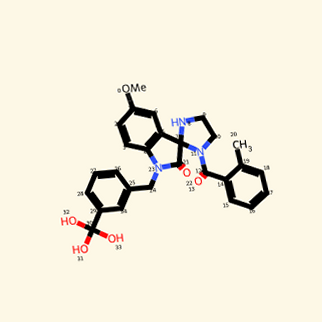 COc1ccc2c(c1)C1(NCCN1C(=O)c1ccccc1C)C(=O)N2Cc1cccc(C(O)(O)O)c1